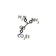 [CH2]C(CCCCOC(=O)c1ccc(/C=C/C(=O)OCC)cc1)(Cc1ccc(N)cc1)Cc1ccc(N)cc1